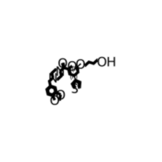 O=C(C1=C[C@H](c2ccsc2)C[C@H](OCCCCO)O1)N1CCN(Cc2ccc3c(c2)OCO3)CC1